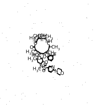 CC[C@H]1OC(=O)[C@H](C)[C@@H](O)[C@H](C)[C@@H](O[C@@H]2O[C@H](C)C[C@H](N(C)S(=O)(=O)c3ccc(N4CCOCC4)nc3)[C@H]2Oc2ccc(F)cc2)[C@](C)(O)C[C@@H](C)CN[C@H](C)[C@@H](O)[C@]1(C)O